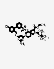 CCOC(=O)C1CC2(CCN(c3cc(OCc4ccc(Cl)cc4-c4cccc(S(C)(=O)=O)c4)nc(N)n3)CC2)CN1C(=O)OC(C)(C)C